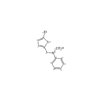 CCc1ccc(CN(C(=O)O)c2ccccc2)s1